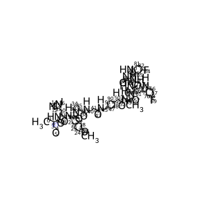 CC/C(=C/C=O)C(=O)N[C@@H](Cc1cncn1I)C(=O)N[C@@H](Cc1ccc(OC)cc1)C(=O)N1CCCC1C(=O)NCCC(=O)NCc1ccc(CC(=O)N[C@H](C)C(=O)N(C)[C@@H](Cc2c[nH]c3ccc(F)cc23)C(=O)N[C@@H](Nc2c[nH]c3ccc(F)cc23)C(N)=O)cc1